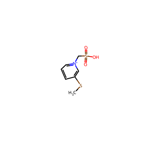 CSc1ccc[n+](CS(=O)(=O)O)c1